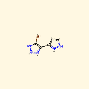 Sc1[nH]nnc1-c1cc[nH]n1